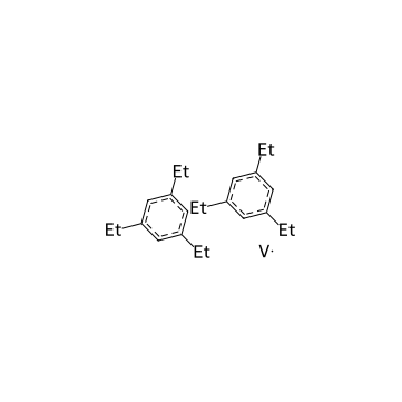 CCc1cc(CC)cc(CC)c1.CCc1cc(CC)cc(CC)c1.[V]